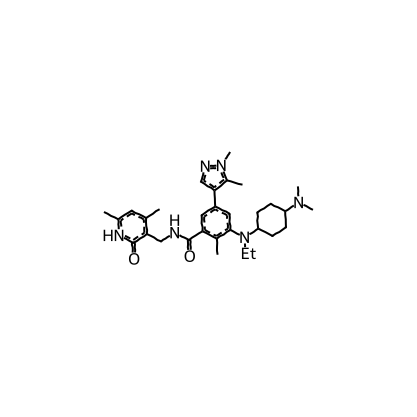 CCN(c1cc(-c2cnn(C)c2C)cc(C(=O)NCc2c(C)cc(C)[nH]c2=O)c1C)C1CCC(N(C)C)CC1